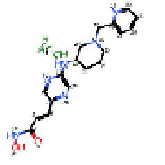 Cl.Cl.Cl.O=C(C=Cc1cnc(N[C@@H]2CCCN(Cc3ccccn3)C2)cn1)NO